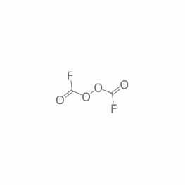 O=C(F)OOC(=O)F